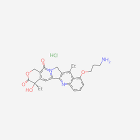 CCc1c2c(nc3cccc(OCCCN)c13)-c1cc3c(c(=O)n1C2)COC(=O)[C@]3(O)CC.Cl